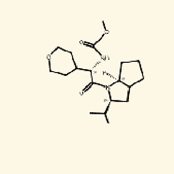 COC(=O)N[C@H](C(=O)N1[C@H](C(C)C)CC2CCC[C@@H]21)C1CCOCC1